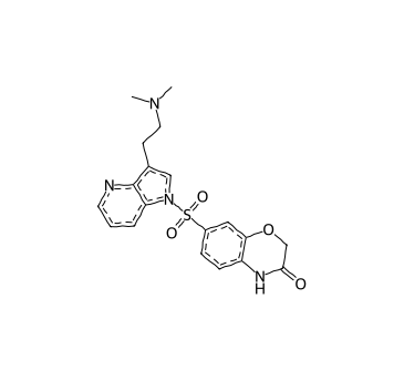 CN(C)CCc1cn(S(=O)(=O)c2ccc3c(c2)OCC(=O)N3)c2cccnc12